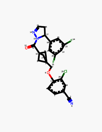 N#Cc1ccc(OCC23CC(C(=O)N4N=CCC4c4cc(F)cc(F)c4)(C2)C3)c(Cl)c1